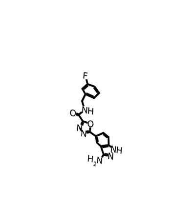 Nc1n[nH]c2ccc(-c3nnc(C(=O)NCc4cccc(F)c4)o3)cc12